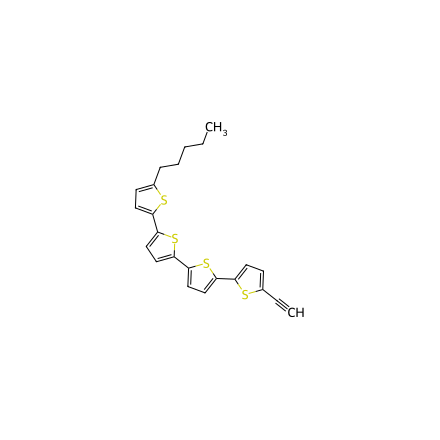 C#Cc1ccc(-c2ccc(-c3ccc(-c4ccc(CCCCC)s4)s3)s2)s1